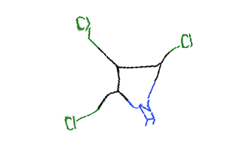 ClC1NC(Cl)C1Cl